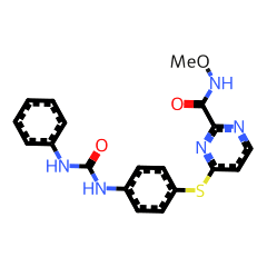 CONC(=O)c1nccc(Sc2ccc(NC(=O)Nc3ccccc3)cc2)n1